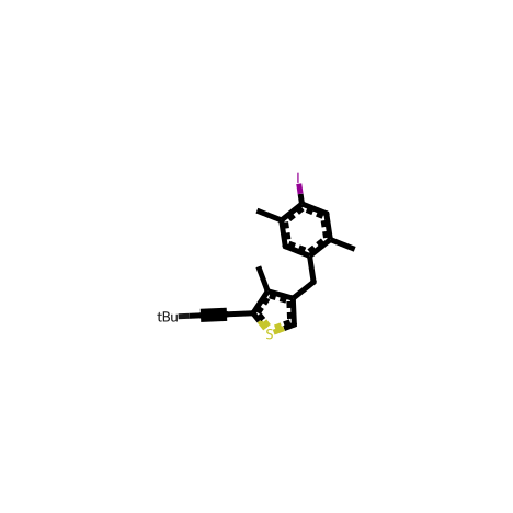 Cc1cc(Cc2csc(C#CC(C)(C)C)c2C)c(C)cc1I